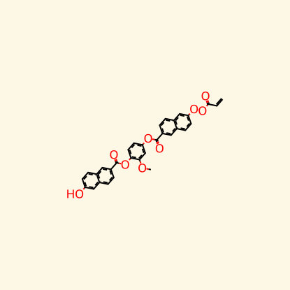 C=CC(=O)OOc1ccc2cc(C(=O)Oc3ccc(OC(=O)c4ccc5cc(O)ccc5c4)c(OC)c3)ccc2c1